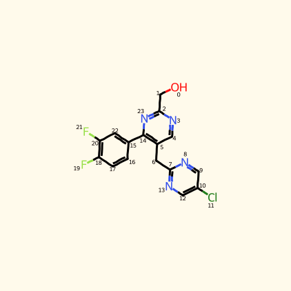 OCc1ncc(Cc2ncc(Cl)cn2)c(-c2ccc(F)c(F)c2)n1